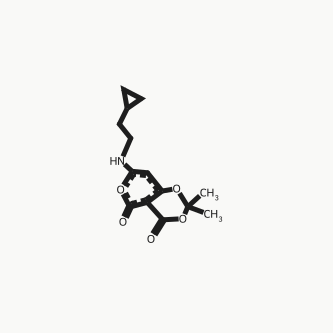 CC1(C)OC(=O)c2c(cc(NCCC3CC3)oc2=O)O1